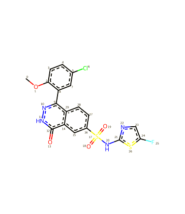 COc1ccc(Cl)cc1-c1n[nH]c(=O)c2cc(S(=O)(=O)Nc3ncc(F)s3)ccc12